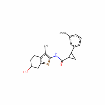 COc1cccc(C2CC2C(=O)Nc2sc3c(c2C#N)CCC(O)C3)c1